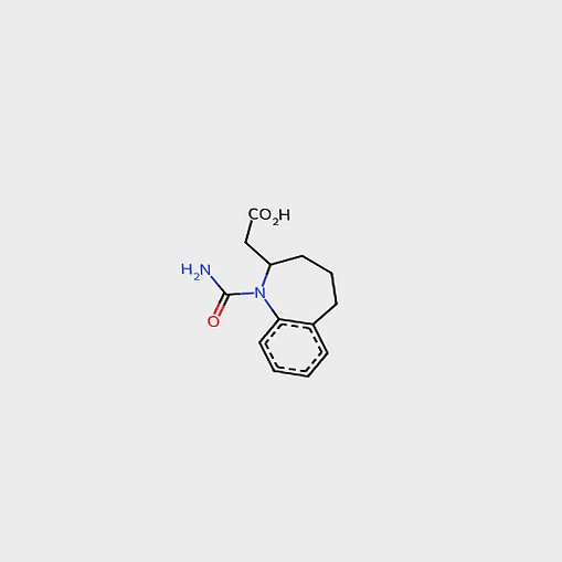 NC(=O)N1c2ccccc2CCCC1CC(=O)O